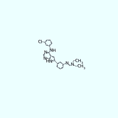 CCN(C=Nc1cccc(-c2cc3c(Nc4cccc(Cl)c4)ncnc3[nH]2)c1)CC